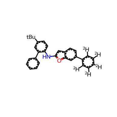 [2H]c1c([2H])c([2H])c(-c2ccc3cc(Nc4ccc(C(C)(C)C)cc4-c4ccccc4)oc3c2)c([2H])c1[2H]